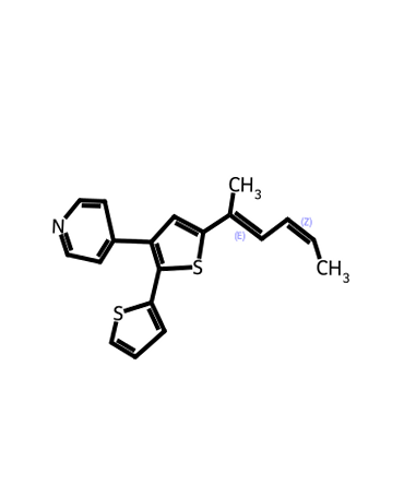 C/C=C\C=C(/C)c1cc(-c2ccncc2)c(-c2cccs2)s1